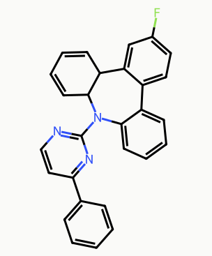 Fc1ccc2c(c1)C1C=CC=CC1N(c1nccc(-c3ccccc3)n1)c1ccccc1-2